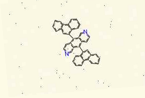 c1ccc2c(c1)cc(-c1c3ccncc3c(-c3cc4ccccc4c4ccccc34)c3ccncc13)c1ccccc12